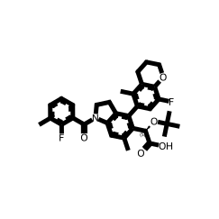 Cc1cccc(C(=O)N2CCc3c2cc(C)c([C@H](OC(C)(C)C)C(=O)O)c3-c2cc(F)c3c(c2C)CCCO3)c1F